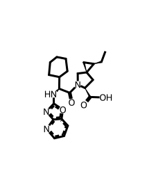 CC[C@@H]1C[C@]12C[C@@H](C(=O)O)N(C(=O)[C@@H](Nc1nc3ncccc3o1)C1CCCCC1)C2